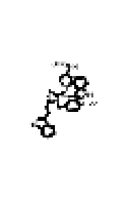 COc1ccc(Cn2c(CCc3c[nH]c4ccccc34)nnc2[C@@H](Cc2c[nH]c3ccccc23)N2CCC(N[C]=O)CC2)cc1